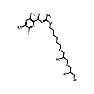 N/C(=N\C(=O)c1nc(Cl)c(N)nc1N)NCCCCCCOCC(O)COCC(O)CO